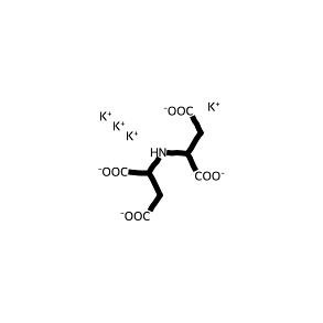 O=C([O-])CC(NC(CC(=O)[O-])C(=O)[O-])C(=O)[O-].[K+].[K+].[K+].[K+]